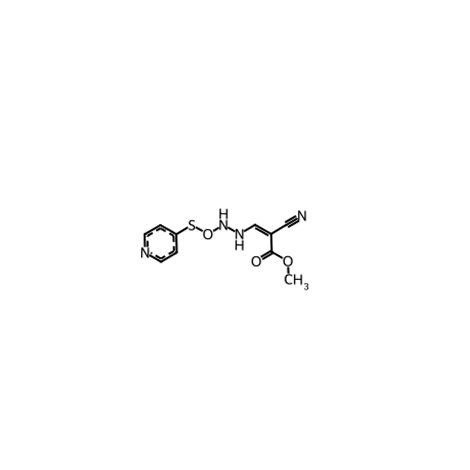 COC(=O)C(C#N)=CNNOSc1ccncc1